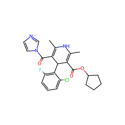 CC1=C(C(=O)OC2CCCC2)C(c2c(F)cccc2Cl)C(C(=O)n2ccnc2)=C(C)N1